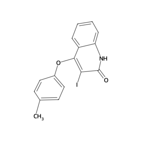 Cc1ccc(Oc2c(I)c(=O)[nH]c3ccccc23)cc1